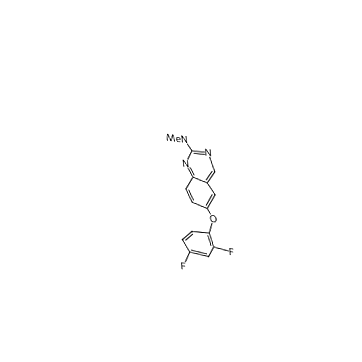 CNc1ncc2cc(Oc3ccc(F)cc3F)ccc2n1